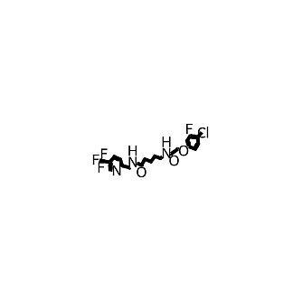 O=C(CCCCNC(=O)COc1ccc(Cl)c(F)c1)NCc1ccc(C(F)(F)F)cn1